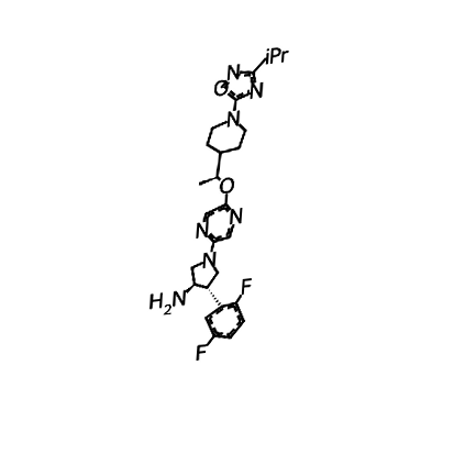 CC(C)c1noc(N2CCC([C@H](C)Oc3cnc(N4C[C@H](c5cc(F)ccc5F)[C@@H](N)C4)cn3)CC2)n1